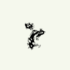 Nc1c(F)c(F)c(F)c(F)c1-c1ccc2c(N3C[C@H]4CC[C@@H](C3)N4)nc(OC[C@@]34CCCN3C[C@H](F)C4)nc2c1F